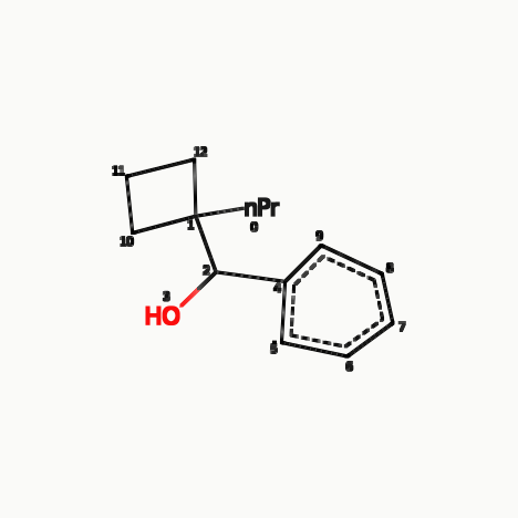 CCCC1(C(O)c2[c]cccc2)CCC1